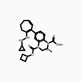 COC(=O)N1c2ccc(C3=C(NNC4CC4)CCCC=C3)cc2N(C(=O)OC2CCC2)C[C@@H]1C